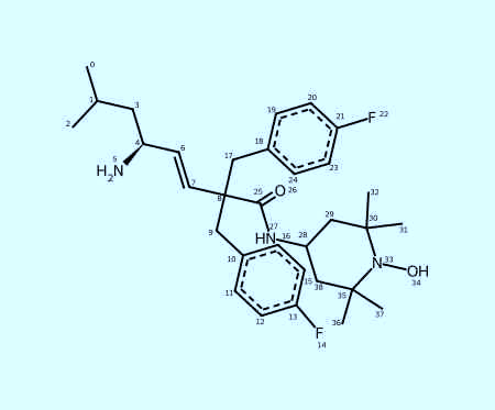 CC(C)C[C@H](N)/C=C/C(Cc1ccc(F)cc1)(Cc1ccc(F)cc1)C(=O)NC1CC(C)(C)N(O)C(C)(C)C1